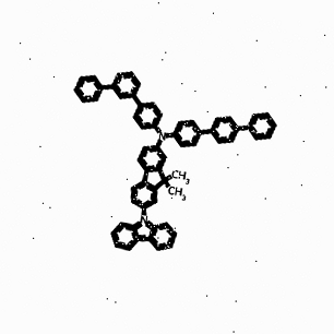 CC1(C)c2cc(N(c3ccc(-c4ccc(-c5ccccc5)cc4)cc3)c3ccc(-c4cccc(-c5ccccc5)c4)cc3)ccc2-c2ccc(-n3c4ccccc4c4ccccc43)cc21